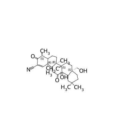 C[C@@H]1C(=O)C(C#N)=C[C@]2(C)C3=CC(=O)[C@]4(O)C5CC(C)(C)CC[C@]5(CO)CC[C@@]4(C)[C@]3(C)CCC12